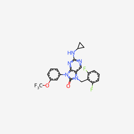 O=c1n(Cc2c(F)cccc2F)c2cnc(NC3CC3)nc2n1-c1cccc(OC(F)(F)F)c1